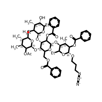 CCC1O[C@@H](O[C@H]2C(COC(=O)c3ccccc3)O[C@@H](O[C@@H]3C(CC)O[C@@H](OCCCN=[N+]=[N-])C(OC(=O)c4ccccc4)[C@H]3C)C(OC(=O)c3ccccc3)[C@H]2O[C@@H]2OC(CC)[C@@H](O)[C@@H](C)C2C)C(OC(C)=O)[C@@H](C)[C@@H]1C